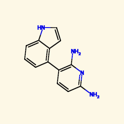 Nc1ccc(-c2cccc3[nH]ccc23)c(N)n1